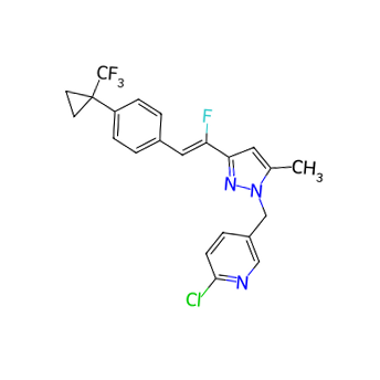 Cc1cc(/C(F)=C/c2ccc(C3(C(F)(F)F)CC3)cc2)nn1Cc1ccc(Cl)nc1